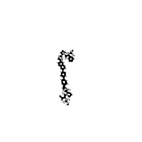 COC(=O)N[C@H](C(=O)N1CCC[C@H]1c1ncc(-c2ccc(-c3ccc(-c4ccc5cc(-c6cnc([C@@H]7CCCN7C(=O)[C@H](NC(=O)OC)c7ccccc7)[nH]6)ccc5c4)cc3)cc2)[nH]1)C(C)C